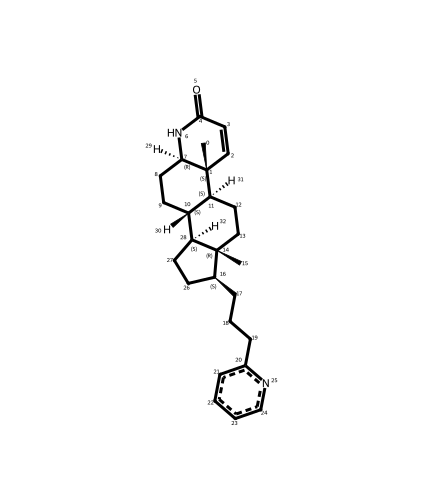 C[C@]12C=CC(=O)N[C@@H]1CC[C@@H]1[C@@H]2CC[C@]2(C)[C@@H](CCCc3ccccn3)CC[C@@H]12